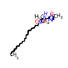 CCC=CCC=CCC=CCC=CCC=CCC=CCCC(=O)NCC(C)(C)NC(=O)c1c[n+]([O-])c(C)cn1